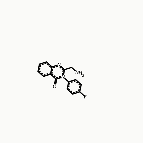 NCc1nc2ccccc2c(=O)n1-c1ccc(F)cc1